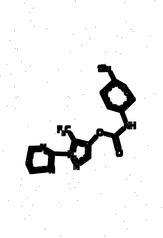 CC(C)(C)c1ccc(NC(=O)Oc2cnn(-c3ncccn3)c2C(F)(F)F)cc1